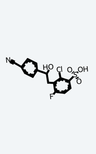 N#Cc1ccc(C(O)Cc2c(F)ccc(S(=O)(=O)O)c2Cl)cc1